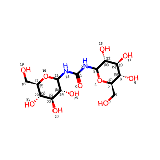 O=C(NC1O[C@H](CO)[C@@H](O)[C@H](O)[C@H]1O)NC1O[C@H](CO)[C@@H](O)[C@H](O)[C@H]1O